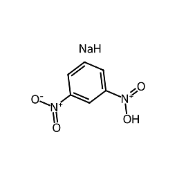 O=[N+]([O-])c1cccc([N+](=O)O)c1.[NaH]